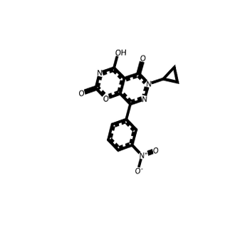 O=c1nc(O)c2c(=O)n(C3CC3)nc(-c3cccc([N+](=O)[O-])c3)c2o1